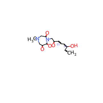 C=C/C(O)=C\C=C\C(=O)CN1C(=O)CN(C)CC(=O)C1=O